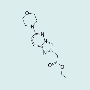 CCOC(=O)Cc1cn2nc(N3CCOCC3)ccc2n1